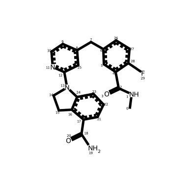 CNC(=O)c1cc(Cc2ccnc(N3CCc4c(C(N)=O)cccc43)c2)ccc1F